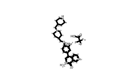 COc1cc(-c2cn(C)c(=O)c3cnccc23)ccc1OCC1CCN(CC2CCNCC2)CC1.O=C(O)C(F)(F)F